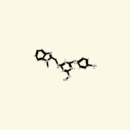 CCOc1nc(NCc2nc3ccccc3n2C)nc(Nc2ccc(O)cc2)n1